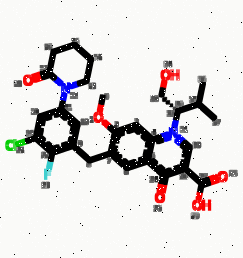 COc1cc2c(cc1Cc1cc(N3CCCCC3=O)cc(Cl)c1F)c(=O)c(C(=O)O)cn2[C@H](CO)C(C)C